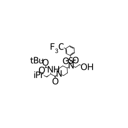 CC(C)C[C@@H](NC(=O)OC(C)(C)C)C(=O)N1CCC(N(CCO)S(=O)(=O)c2cccc(C(F)(F)F)c2)CC1